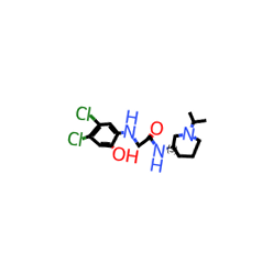 CC(C)N1CCC[C@H](NC(=O)CNc2cc(Cl)c(Cl)cc2O)C1